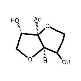 CC(=O)[C@]12OC[C](O)[C@H]1OC[C@@H]2O